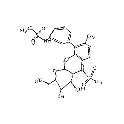 Cc1cccc(OC2OC(CO)C(O)C(O)C2NS(C)(=O)=O)c1-c1cccc(NS(C)(=O)=O)c1